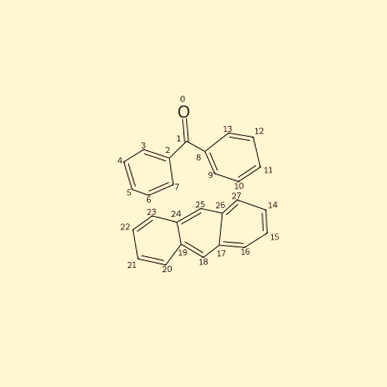 O=C(c1ccccc1)c1ccccc1.c1ccc2cc3ccccc3cc2c1